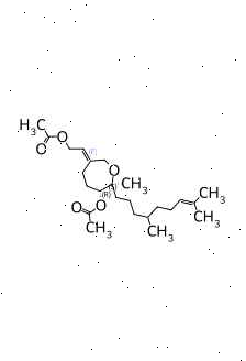 CC(=O)OC/C=C1\CC[C@@H](OC(C)=O)[C@](C)(CCCC(C)CCC=C(C)C)OC1